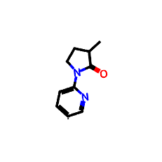 CC1CCN(c2cc[c]cn2)C1=O